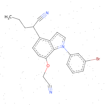 CCCC(C#N)c1ccc(OCC#N)c2c1ccn2-c1cccc(Br)c1